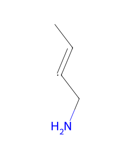 CC=[C]CN